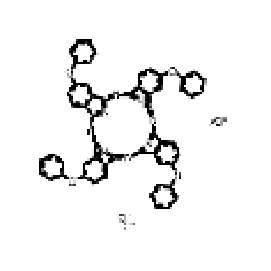 [Al+3].[Cl-].[Cl-].[Cl-].c1ccc(Oc2ccc3c(c2)-c2nc-3nc3[nH]c(nc4nc(nc5[nH]c(n2)c2ccc(Oc6ccccc6)cc52)-c2ccc(Oc5ccccc5)cc2-4)c2ccc(Oc4ccccc4)cc32)cc1